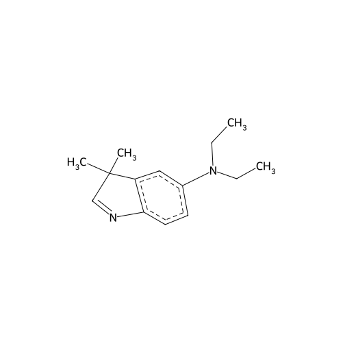 CCN(CC)c1ccc2c(c1)C(C)(C)C=N2